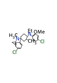 CCN(c1ccc(Cl)cc1OC)C1CCC(c2ccc(Cl)cc2)(N(C)C2CC2)CC1C